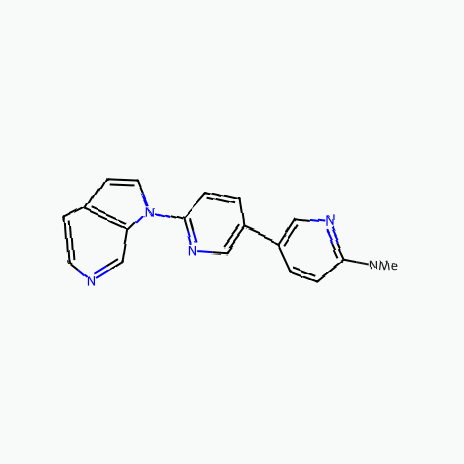 CNc1ccc(-c2ccc(-n3ccc4ccncc43)nc2)cn1